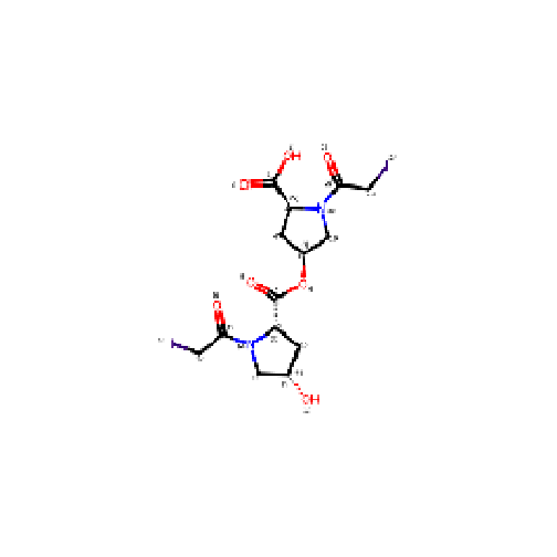 O=C(O)[C@@H]1C[C@H](OC(=O)[C@@H]2C[C@H](O)CN2C(=O)CI)CN1C(=O)CI